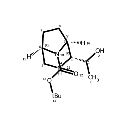 CC(O)[C@@H]1NC[C@H]2CC[C@@H]1N2C(=O)OC(C)(C)C